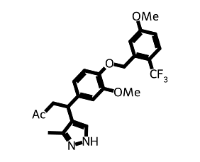 COc1ccc(C(F)(F)F)c(COc2ccc(C(CC(C)=O)c3c[nH]nc3C)cc2OC)c1